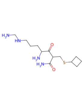 NCNCCCC(N)C(=O)C(CSC1CCC1)C(N)=O